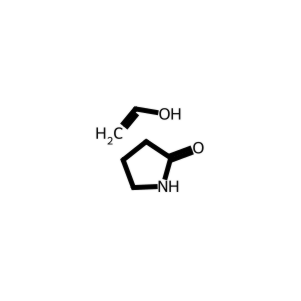 C=CO.O=C1CCCN1